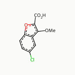 COc1c(C(=O)O)oc2ccc(Cl)cc12